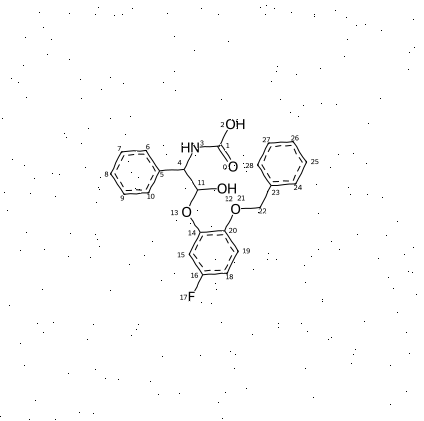 O=C(O)NC(c1ccccc1)C(O)Oc1cc(F)ccc1OCc1ccccc1